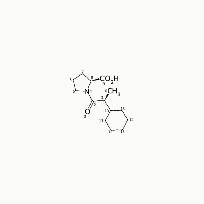 C[C@H](C(=O)N1CCC[C@H]1C(=O)O)C1CCCCC1